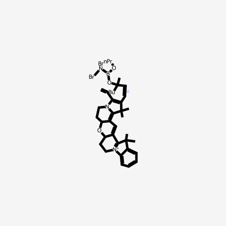 C=CC1=C(/C=C\C(C)(OB(OCCC)N(Br)Br)C(C)(C)C)C(C)(C)C2=C3C=C4C5=[N+](CCC4OC3CCN12)c1ccccc1C5(C)C